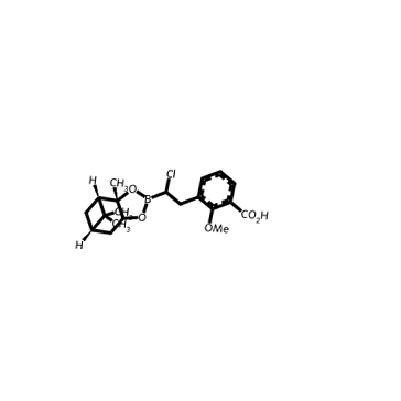 COc1c(CC(Cl)B2OC3C[C@@H]4C[C@@H](C4(C)C)[C@]3(C)O2)cccc1C(=O)O